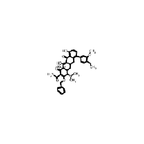 CCc1ccc(-c2ccc(O)c3c2CC2CC4C(N(C)C)C(OCc5ccccc5)=C(C(N)=O)C(=O)[C@@]4(O)C(O)=C2C3=O)cc1OC